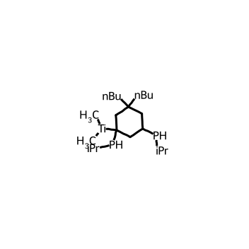 CCCCC1(CCCC)CC(PC(C)C)C[C](PC(C)C)([Ti]([CH3])[CH3])C1